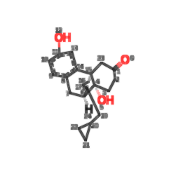 O=C1CC[C@@]2(O)[C@H]3Cc4ccc(O)cc4[C@@]2(CCC3CC2CC2)C1